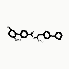 COc1ccc(Cl)cc1-c1ccc(C(=O)N[C@@H](Cc2ccc(-c3ccccc3)cc2)C(=O)O)cc1